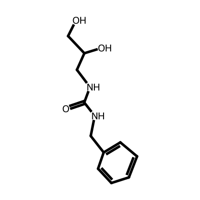 O=C(NCc1ccccc1)NCC(O)CO